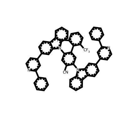 N#Cc1cc(-n2c3ccccc3c3ccc(-c4ccnc(-c5ccccc5)c4)cc32)c(-c2c(C(F)(F)F)cccc2C(F)(F)F)cc1-n1c2ccccc2c2ccc(-c3ccnc(-c4ccccc4)c3)cc21